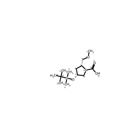 COC[C@H]1C[C@@H](O[Si](C)(C)C(C)(C)C)CN1C(=O)O